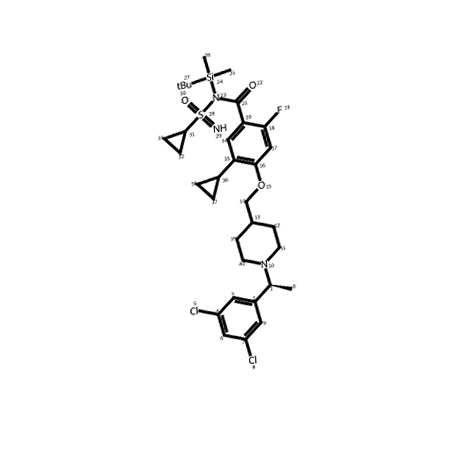 C[C@@H](c1cc(Cl)cc(Cl)c1)N1CCC(COc2cc(F)c(C(=O)N([Si](C)(C)C(C)(C)C)S(=N)(=O)C3CC3)cc2C2CC2)CC1